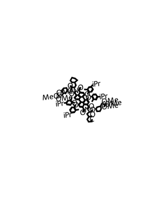 CO[Si](CC1CCCC(OC(=O)C(CC2CCCCC2)N2C(=O)c3cc(Oc4ccc(C(C)C)cc4C)c4c5c(Oc6ccc(C(C)C)cc6C)cc6c7c(cc(Oc8ccc(C(C)C)cc8C)c(c8c(Oc9ccc(C(C)C)cc9C)cc(c3c48)C2=O)c75)C(=O)N(C(CC2CCCCC2)C(=O)OC2CCCC(C[Si](OC)(OC)OC)C2)C6=O)C1)(OC)OC